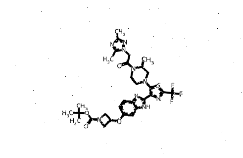 Cc1nc(C)n(CC(=O)N2CCN(c3sc(C(F)(F)F)nc3-c3nc4ccc(OC5CN(C(=O)OC(C)(C)C)C5)cc4[nH]3)CC2C)n1